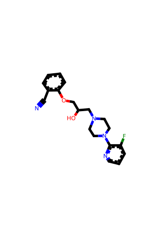 N#Cc1ccccc1OCC(O)CN1CCN(c2ncccc2F)CC1